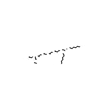 CCCCCCCCCCCCCCCC(=O)OC[C@H](CSC[C@H](N)C(=O)NCC(=O)NCC(=O)NCC(=O)N[C@@H](CCC(N)=O)C(=O)N[C@H](C(=O)O)[C@@H](C)O)OC(=O)CCCCCCCCCCCCCCC